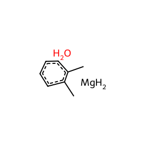 Cc1ccccc1C.O.[MgH2]